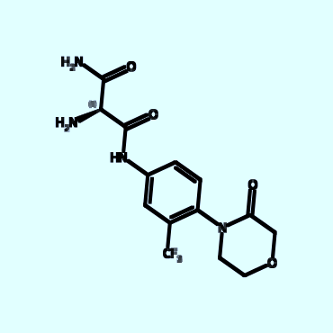 NC(=O)[C@H](N)C(=O)Nc1ccc(N2CCOCC2=O)c(C(F)(F)F)c1